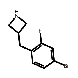 Fc1cc(Br)ccc1CC1CNC1